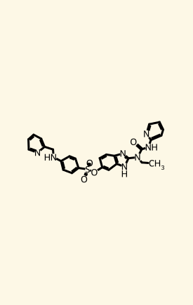 CCN(C(=O)Nc1ccccn1)c1nc2ccc(OS(=O)(=O)c3ccc(NCc4ccccn4)cc3)cc2[nH]1